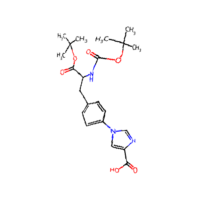 CC(C)(C)OC(=O)NC(Cc1ccc(-n2cnc(C(=O)O)c2)cc1)C(=O)OC(C)(C)C